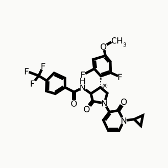 COc1cc(F)c([C@@H]2CN(c3cccn(C4CC4)c3=O)C(=O)C2NC(=O)c2ccc(C(F)(F)F)cc2)c(F)c1